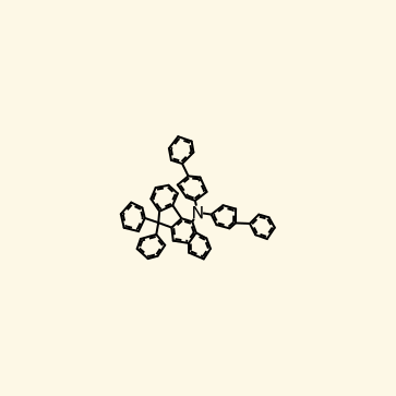 c1ccc(-c2ccc(N(c3ccc(-c4ccccc4)cc3)c3c4c(cc5ccccc35)C(c3ccccc3)(c3ccccc3)c3ccccc3-4)cc2)cc1